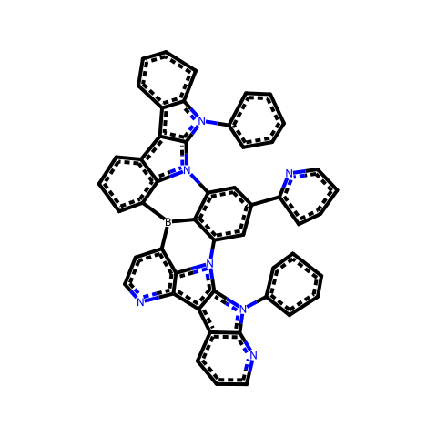 c1ccc(-n2c3ccccc3c3c4cccc5c4n(c32)-c2cc(-c3ccccn3)cc3c2B5c2ccnc4c5c6cccnc6n(-c6ccccc6)c5n-3c24)cc1